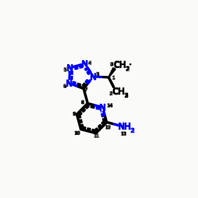 [CH2][C@@H](C)n1nnnc1-c1cccc(N)n1